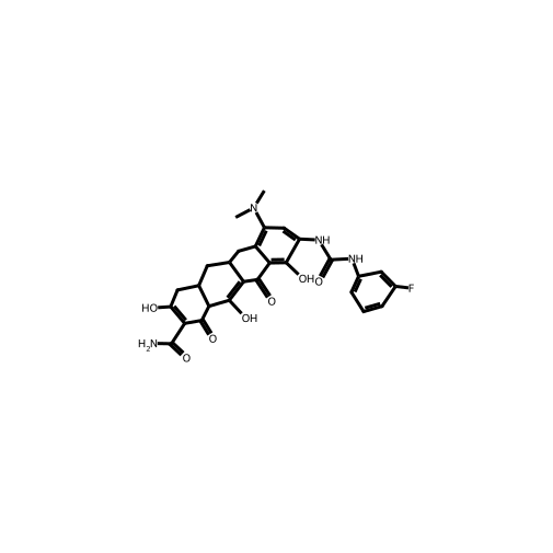 CN(C)c1cc(NC(=O)Nc2cccc(F)c2)c(O)c2c1CC1CC3CC(O)=C(C(N)=O)C(=O)C3C(O)=C1C2=O